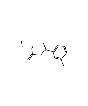 C=C(CC(C)c1cccc(C)c1)OCC